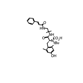 Cc1cc(O)cc(C)c1C[C@@H](C(=O)NC(C)(C)CNC(=O)C=Cc1ccccc1)N(C(=O)O)C(C)(C)C